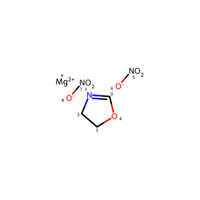 C1=NCCO1.O=[N+]([O-])[O-].O=[N+]([O-])[O-].[Mg+2]